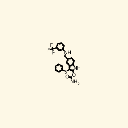 NC(=O)Oc1[nH]c2ccc(CNc3cccc(C(F)(F)F)c3)cc2c1Sc1ccccc1